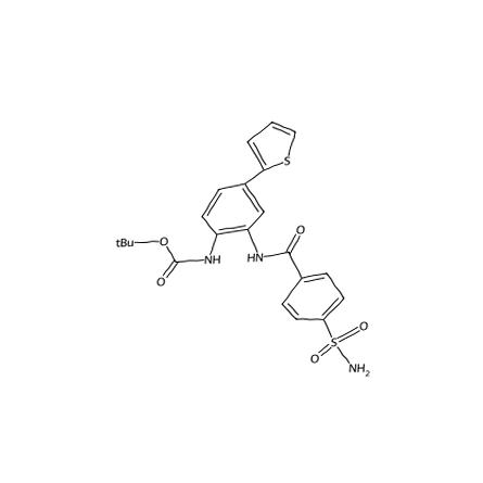 CC(C)(C)OC(=O)Nc1ccc(-c2cccs2)cc1NC(=O)c1ccc(S(N)(=O)=O)cc1